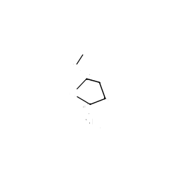 N[C@H]1CC[C@@H](CO)O1